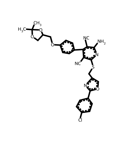 [C-]#[N+]c1c(N)nc(SCc2coc(-c3ccc(Cl)cc3)n2)c(C#N)c1-c1ccc(OCC2COC(C)(C)O2)cc1